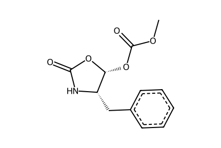 COC(=O)O[C@H]1OC(=O)N[C@H]1Cc1ccccc1